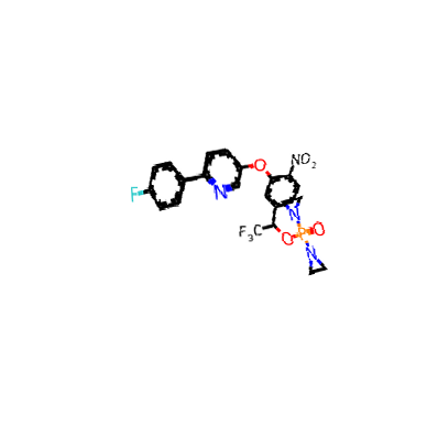 O=[N+]([O-])c1ccc(C(OP(=O)(N2CC2)N2CC2)C(F)(F)F)cc1Oc1ccc(-c2ccc(F)cc2)nc1